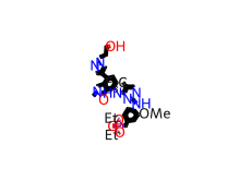 CCOP(=O)(Cc1ccc(Nc2ncc(C(F)(F)F)c(Nc3ccc(-c4cnn(CCCO)c4)c4c3C(=O)N(C)C4)n2)c(OC)c1)OCC